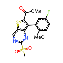 COC(=O)c1sc2cnc(S(C)(=O)=O)nc2c1-c1cc(F)ccc1OC